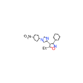 CCc1onc(-c2ccccc2)c1-c1cn(-c2ccc([N+](=O)[O-])cc2)cn1